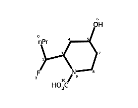 CCCC(F)C1CC(O)CCN1C(=O)O